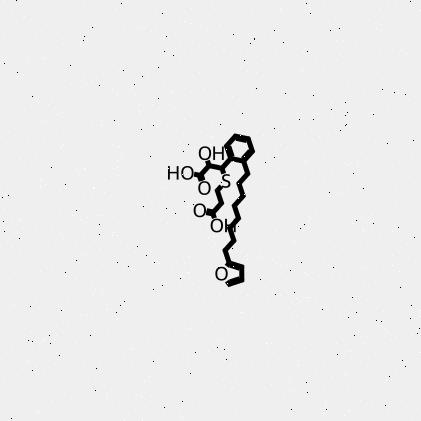 O=C(O)CCSC(c1ccccc1CCCCCCCCc1ccco1)C(O)C(=O)O